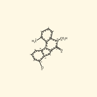 Cc1cccc2c1n1c(cc3c(Cl)cccc31)c(=O)n2C(=O)O